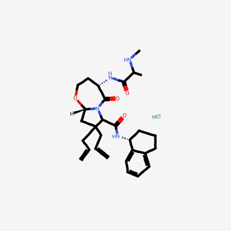 C=CCC1(CC=C)C[C@@H]2OCC[C@H](NC(=O)C(C)NC)C(=O)N2C1C(=O)N[C@@H]1CCCc2ccccc21.Cl